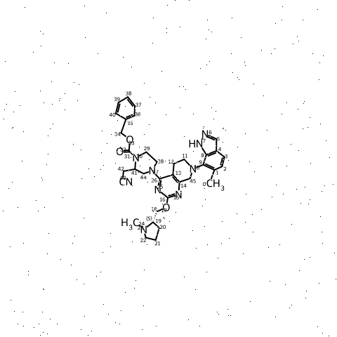 Cc1ccc2cn[nH]c2c1N1CCc2c(nc(OC[C@@H]3CCCN3C)nc2N2CCN(C(=O)OCc3ccccc3)C(CC#N)C2)C1